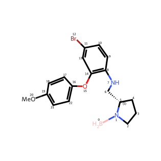 BN1CCC[C@H]1CNc1ccc(Br)cc1Oc1ccc(OC)cc1